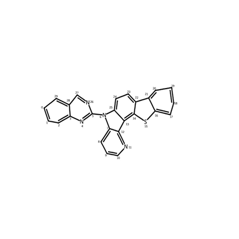 c1ccc2nc(-n3c4cccnc4c4c5sc6ccccc6c5ccc43)ncc2c1